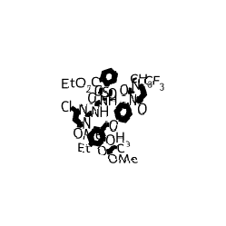 CCOC(=O)c1ccccc1S(=O)(=O)NC(=O)Nc1nc(Cl)cc(OC)n1.CCc1ccc(COc2ccc(-n3c(=O)cc(C(F)(F)F)n(C)c3=O)cc2)c(OC(C)C(=O)OC)c1